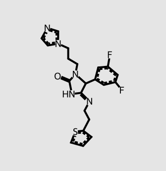 O=C1NC(=NCCc2cccs2)C(c2cc(F)cc(F)c2)N1CCCn1ccnc1